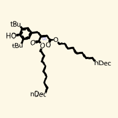 CCCCCCCCCCCCCCCCCCOC(=O)/C=C(/Cc1cc(C(C)(C)C)c(O)c(C(C)(C)C)c1)C(=O)OCCCCCCCCCCCCCCCCCC